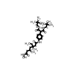 CCC(C)(CC(=O)Nc1ccc(C(C(=O)NCC(C)(C)C)C(=O)NCC(C)(C)C)cc1)CC(C)CC(=O)NO